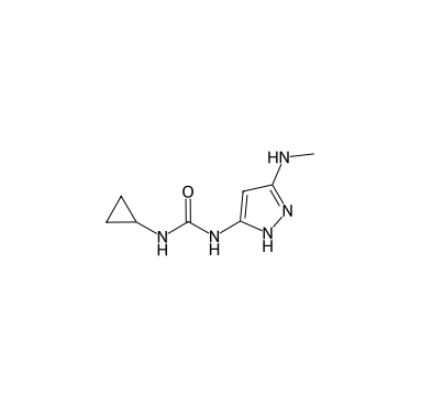 CNc1cc(NC(=O)NC2CC2)[nH]n1